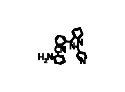 Cc1ccccc1-c1nc(-c2ccncc2)nc2ccccc12.N#Cc1ccccc1N